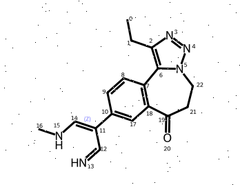 CCc1nnn2c1-c1ccc(/C(C=N)=C/NC)cc1C(=O)CC2